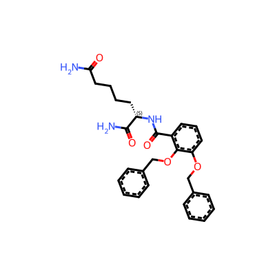 NC(=O)CCCC[C@H](NC(=O)c1cccc(OCc2ccccc2)c1OCc1ccccc1)C(N)=O